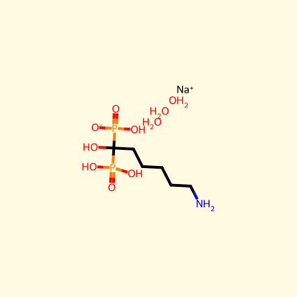 NCCCCCC(O)(P(=O)([O-])O)P(=O)(O)O.O.O.O.[Na+]